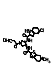 CN1CCc2nc(C(=O)N[C@@H]3CN(C(=O)CC=O)C[C@H]3NC(=O)c3cc4cc(Cl)ccc4[nH]3)sc2C1